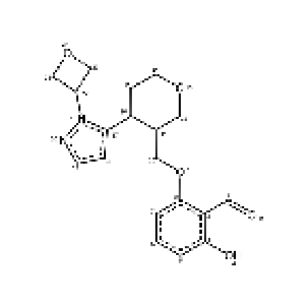 O=Cc1c(O)cccc1OCC1COCCC1c1ccnn1C1COC1